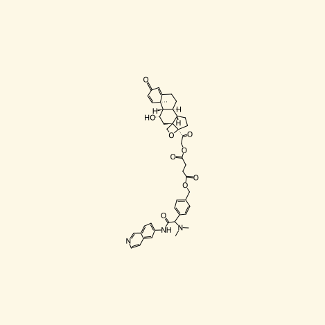 CN(C)C(C(=O)Nc1ccc2cnccc2c1)c1ccc(COC(=O)CCC(=O)OCC(=O)[C@@]23CC[C@H]4[C@@H]5CCC6=CC(=O)C=C[C@]6(C)[C@H]5[C@@H](O)C[C@@]42CO3)cc1